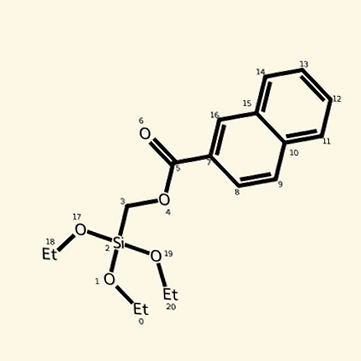 CCO[Si](COC(=O)c1ccc2ccccc2c1)(OCC)OCC